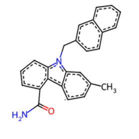 Cc1c[c]c2c3c(C(N)=O)cccc3n(Cc3ccc4ccccc4c3)c2c1